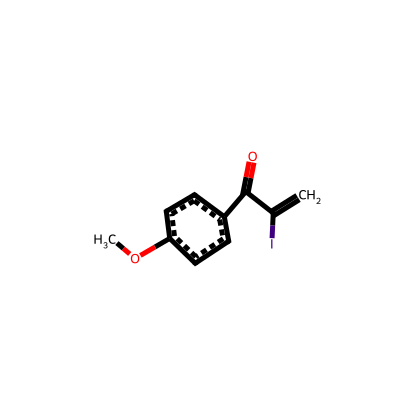 C=C(I)C(=O)c1ccc(OC)cc1